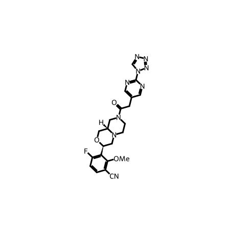 COc1c(C#N)ccc(F)c1[C@@H]1CN2CCN(C(=O)Cc3cnc(-n4cnnn4)nc3)C[C@H]2CO1